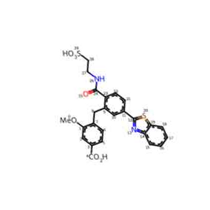 COc1cc(C(=O)O)ccc1Cc1cc(-c2nc3ccccc3s2)ccc1C(=O)NCCS(=O)(=O)O